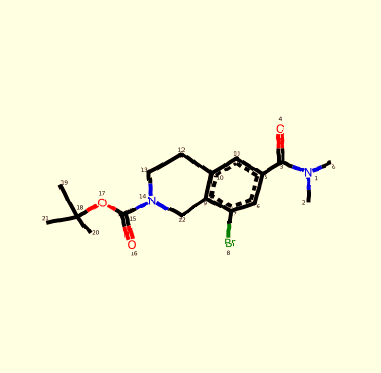 CN(C)C(=O)c1cc(Br)c2c(c1)CCN(C(=O)OC(C)(C)C)C2